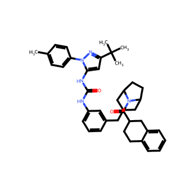 Cc1ccc(-n2nc(C(C)(C)C)cc2NC(=O)Nc2cccc(CC3CC4CCC(C3)N4C(=O)C3CCc4ccccc4C3)c2)cc1